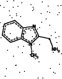 Cn1c(CN)nc2ccccc21